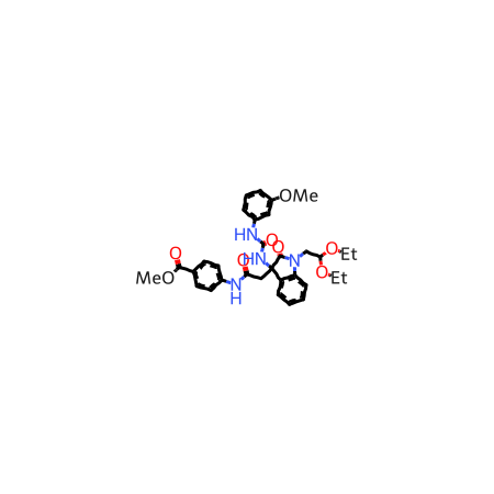 CCOC(CN1C(=O)C(CC(=O)Nc2ccc(C(=O)OC)cc2)(NC(=O)Nc2cccc(OC)c2)c2ccccc21)OCC